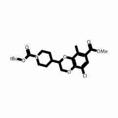 COC(=O)c1cc(Cl)c2c(c1C)OC(C1CCN(C(=O)OC(C)(C)C)CC1)CO2